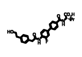 CC(C)[C@H](NC(=O)c1ccc(-c2ccc(NC(=O)Cc3ccc(CCO)cc3)c(F)c2)cc1)C(=O)O